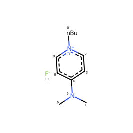 CCCC[n+]1ccc(N(C)C)cc1.[F-]